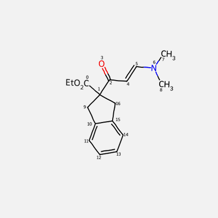 CCOC(=O)C1(C(=O)/C=C/N(C)C)Cc2ccccc2C1